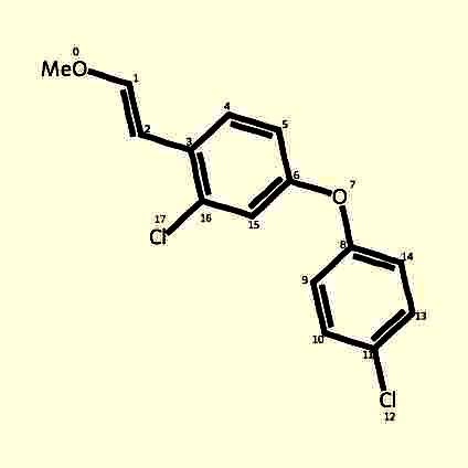 COC=Cc1ccc(Oc2ccc(Cl)cc2)cc1Cl